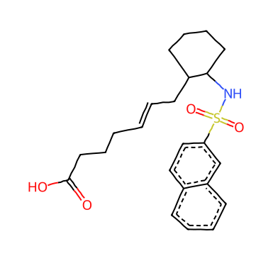 O=C(O)CCCC=CCC1CCCCC1NS(=O)(=O)c1ccc2ccccc2c1